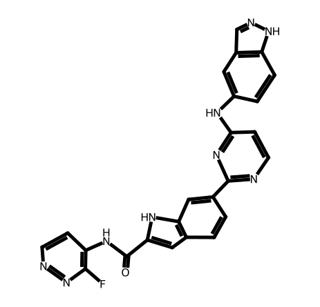 O=C(Nc1ccnnc1F)c1cc2ccc(-c3nccc(Nc4ccc5[nH]ncc5c4)n3)cc2[nH]1